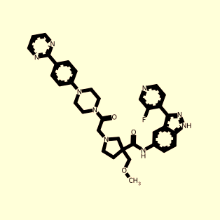 COCC1(C(=O)Nc2ccc3[nH]nc(-c4ccncc4F)c3c2)CCN(CC(=O)N2CCN(c3ccc(-c4ncccn4)cc3)CC2)C1